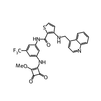 COc1c(Nc2cc(NC(=O)c3sccc3NCc3ccnc4ccccc34)cc(C(F)(F)F)c2)c(=O)c1=O